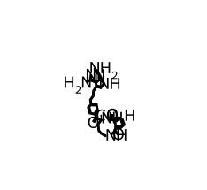 Nc1nc(N)c2c(CCCc3ccc(C(=O)[C@@]4(C(=O)O)CCCCNC(=O)c5ccccc5C(=O)N4)cc3)c[nH]c2n1